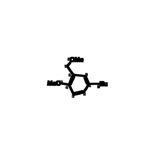 CCC(C)c1ccc(OC)c(COC)c1